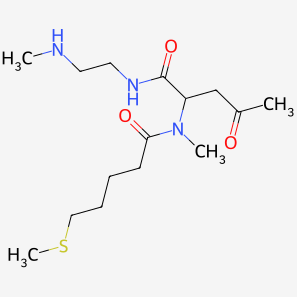 CNCCNC(=O)C(CC(C)=O)N(C)C(=O)CCCCSC